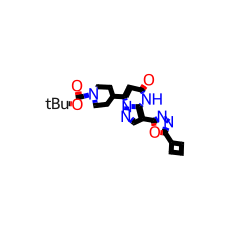 CC(C)(C)OC(=O)N1CCC(c2cc(=O)[nH]c3c(-c4nnc(C5CCC5)o4)cnn23)CC1